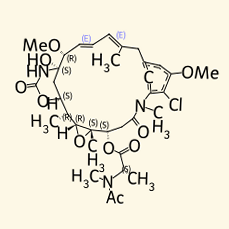 COc1cc2cc(c1Cl)N(C)C(=O)C[C@H](OC(=O)[C@H](C)N(C)C(C)=O)[C@]1(C)O[C@@H]1[C@H](C)[C@@H]1C[C@@](O)(NC(=O)O1)[C@H](OC)/C=C/C=C(\C)C2